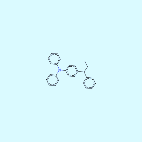 CCC(c1ccccc1)c1ccc(N(c2ccccc2)c2ccccc2)cc1